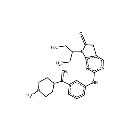 C=C(c1cccc(Nc2ncc3c(n2)N(C(CC)CC)C(=O)C3)c1)N1CCN(C)CC1